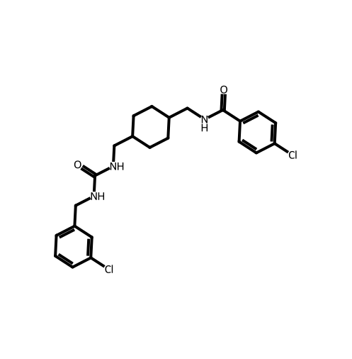 O=C(NCc1cccc(Cl)c1)NCC1CCC(CNC(=O)c2ccc(Cl)cc2)CC1